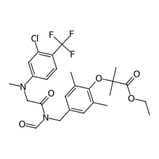 CCOC(=O)C(C)(C)Oc1c(C)cc(CN(C=O)C(=O)CN(C)c2ccc(C(F)(F)F)c(Cl)c2)cc1C